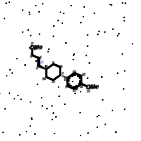 COC/C=C/[C@H]1CC[C@H](c2ccc(OC)cc2)CC1